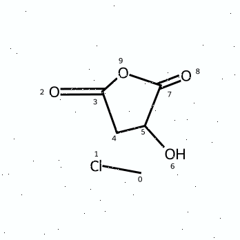 CCl.O=C1CC(O)C(=O)O1